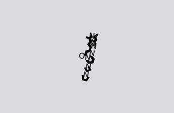 Cc1cn2nc(-c3cc(=O)n4cc(N5CC(N6CCCC6)C5)ccc4n3)cc2c(C)n1